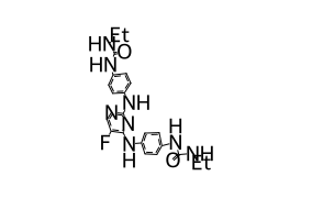 CCNC(=O)Nc1ccc(Nc2ncc(F)c(Nc3ccc(NC(=O)NCC)cc3)n2)cc1